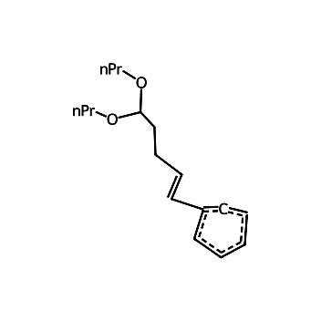 CCCOC(CCC=Cc1ccccc1)OCCC